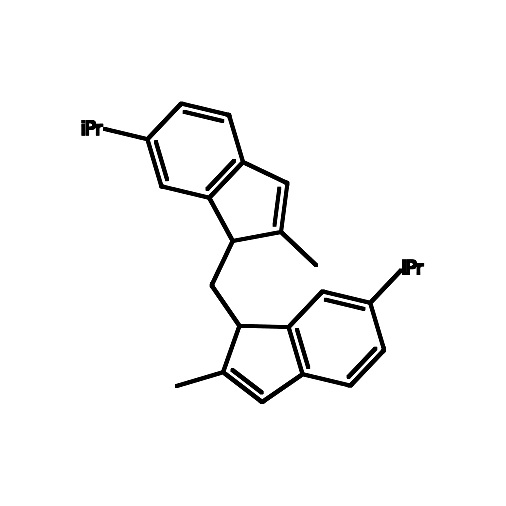 CC1=Cc2ccc(C(C)C)cc2C1CC1C(C)=Cc2ccc(C(C)C)cc21